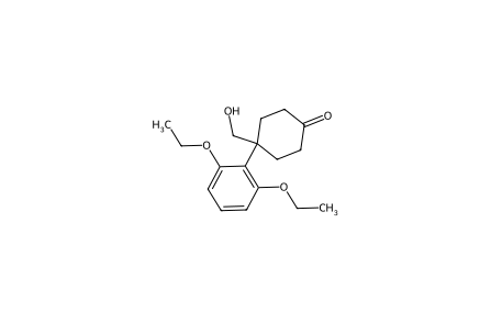 CCOc1cccc(OCC)c1C1(CO)CCC(=O)CC1